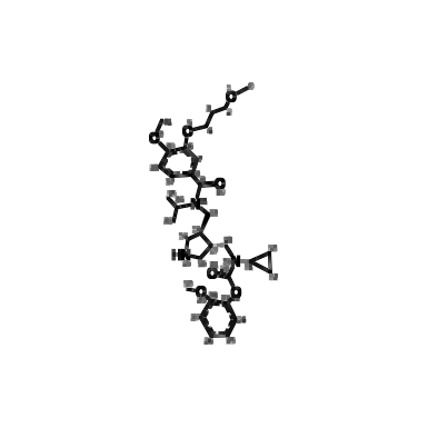 COCCCOc1cc(C(=O)N(C[C@@H]2CNC[C@H]2CN(C(=O)Oc2ccccc2OC)C2CC2)C(C)C)ccc1OC